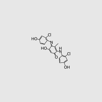 CC1=C(Nc2ccc(O)cc2Cl)C(=O)C=C(O)C1=Nc1ccc(O)cc1Cl